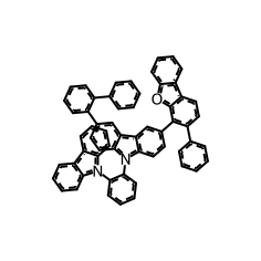 c1ccc(-c2ccccc2-c2ccc3c(c2)c2cc(-c4c(-c5ccccc5)ccc5c4oc4ccccc45)ccc2n3-c2ccccc2-n2c3ccccc3c3ccccc32)cc1